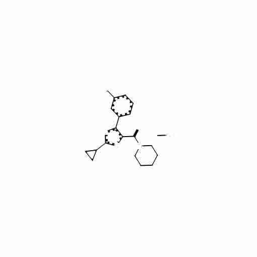 Cl.NC[C@@H]1CCCCN1C(=O)c1nc(C2CC2)sc1-c1cccc(Cl)c1